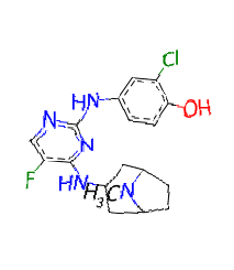 CN1C2CCC1CC(Nc1nc(Nc3ccc(O)c(Cl)c3)ncc1F)C2